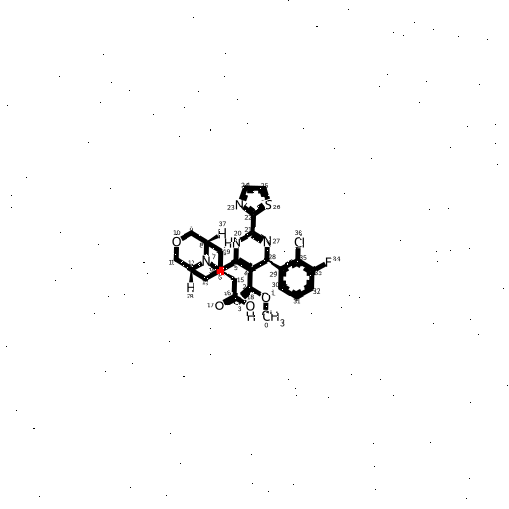 COC(=O)C1=C(CN2[C@@H]3COC[C@H]2C[C@H](CC(=O)O)C3)NC(c2nccs2)=N[C@H]1c1cccc(F)c1Cl